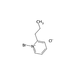 CCCc1cccc[n+]1Br.[Cl-]